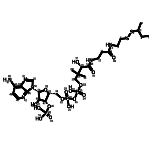 CCC(C)SSCCNC(=O)CCNC(=O)[C@@H](O)C(C)(C)COP(=O)(O)OP(=O)(O)OC[C@H]1O[C@@H](n2cnc3c(N)ccnc32)C(O)[C@H]1OP(=O)(O)O